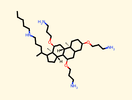 CCCCCNCCCC(C)C1CC[C@H]2C3[C@H](OCCCN)CC4C[C@H](OCCCN)CC[C@]4(C)[C@H]3C[C@H](OCCCN)[C@]12C